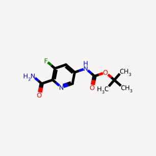 CC(C)(C)OC(=O)Nc1cnc(C(N)=O)c(F)c1